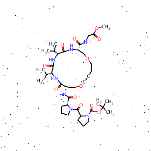 COC(=O)CNC(=O)[C@@H]1COCCCCOC[C@H](NC(=O)[C@@H]2CCCN2C(=O)C2CCCN2C(=O)OC(C)(C)C)C(=O)N[C@@H](C(C)C)C(=O)N[C@@H](C(C)C)C(=O)N1